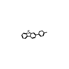 CC1=CC=C(C2=CC3Sc4ccccc4C3C=C2)CC1